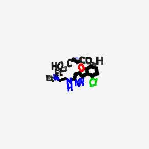 CCN(CC)CCNc1cc2oc3cccc(Cl)c3c2nn1.O=C(O)/C=C/C(=O)O